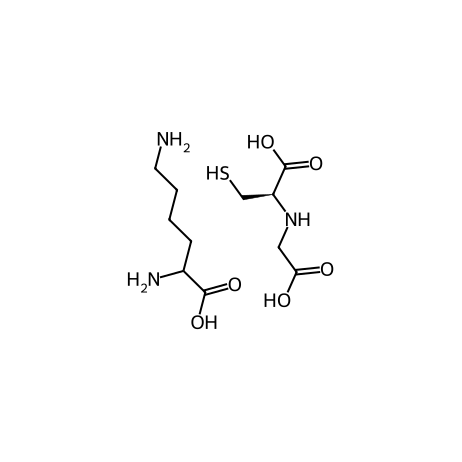 NCCCCC(N)C(=O)O.O=C(O)CN[C@@H](CS)C(=O)O